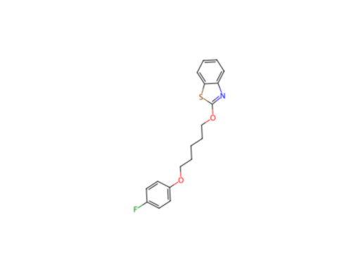 Fc1ccc(OCCCCCOc2nc3ccccc3s2)cc1